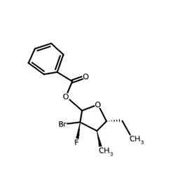 CC[C@H]1OC(OC(=O)c2ccccc2)[C@@](F)(Br)[C@@H]1C